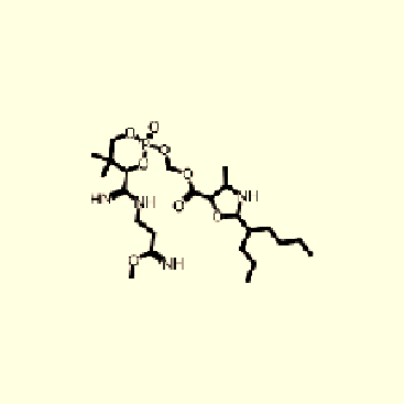 CCCCC(CCC)C1NC(C)C(C(=O)OCOP2(=O)OCC(C)(C)[C@H](C(=N)NCCC(=N)OC)O2)O1